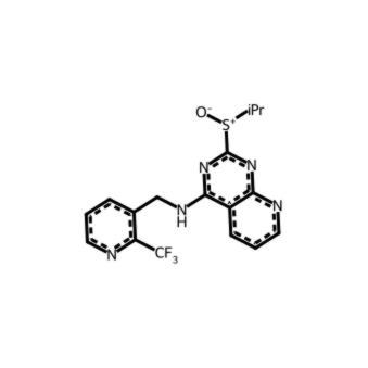 CC(C)[S+]([O-])c1nc(NCc2cccnc2C(F)(F)F)c2cccnc2n1